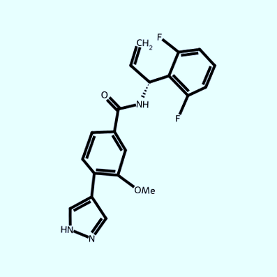 C=C[C@@H](NC(=O)c1ccc(-c2cn[nH]c2)c(OC)c1)c1c(F)cccc1F